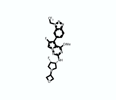 COc1nc(N[C@@H]2CN(C3COC3)C[C@@H]2F)nn2cc(F)c(-c3ccc4nnn(CC(F)(F)F)c4c3)c12